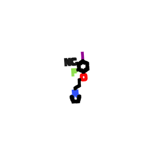 N#Cc1c(I)ccc(OCCCn2cccc2)c1F